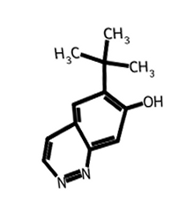 CC(C)(C)c1cc2ccnnc2cc1O